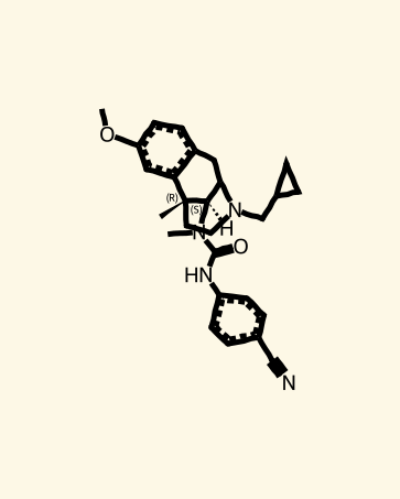 COc1ccc2c(c1)[C@@]1(C)CCN(CC3CC3)C(C2)[C@H]1N(C)C(=O)Nc1ccc(C#N)cc1